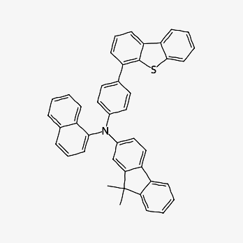 CC1(C)c2ccccc2-c2ccc(N(c3ccc(-c4cccc5c4sc4ccccc45)cc3)c3cccc4ccccc34)cc21